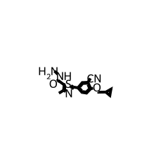 Cc1nc(-c2ccc(OCC3CC3)c(C#N)c2)sc1C(=O)NN